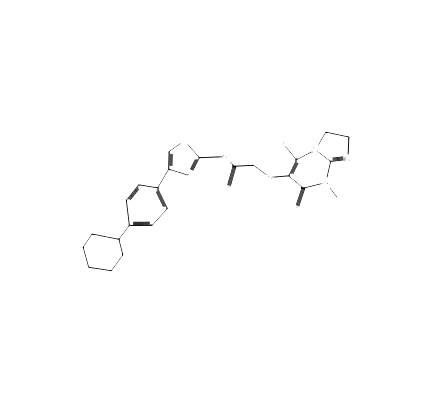 CN1C(=O)C(NCC(=O)Nc2nc(-c3ccc(C4CCCCC4)cc3)cs2)=C(N)N2CCN=C12